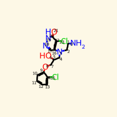 NCCN(CC(O)COc1ccccc1Cl)c1cn[nH]c(=O)c1Cl